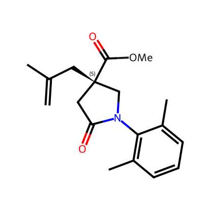 C=C(C)C[C@]1(C(=O)OC)CC(=O)N(c2c(C)cccc2C)C1